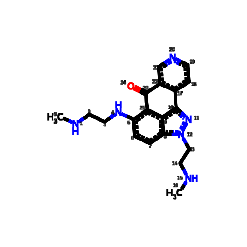 CNCCNc1ccc2c3c(nn2CCNC)-c2ccncc2C(=O)c13